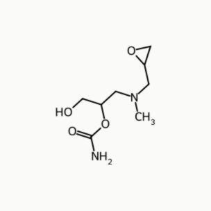 CN(CC1CO1)CC(CO)OC(N)=O